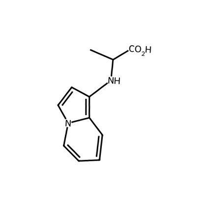 CC(Nc1ccn2ccccc12)C(=O)O